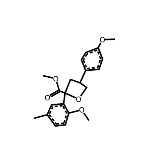 COC(=O)C1(c2cc(C)ccc2OC)CC(c2ccc(OC)cc2)CO1